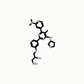 CNCC(O)COc1cccc(-c2nc(N[C@@H]3CCOC3)c(C)c(-c3ccnc(N(C)C)c3)n2)c1